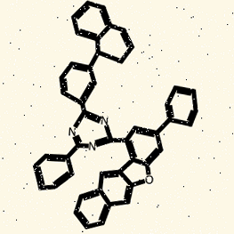 C1=Cc2ccccc2C(c2cccc(-c3nc(-c4ccccc4)nc(-c4cc(-c5ccccc5)cc5oc6cc7ccccc7cc6c45)n3)c2)C1